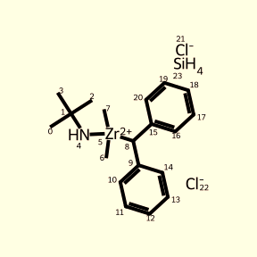 CC(C)(C)[NH][Zr+2]([CH3])([CH3])[CH](c1ccccc1)c1ccccc1.[Cl-].[Cl-].[SiH4]